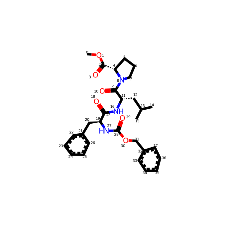 COC(=O)[C@@H]1CCCN1C(=O)[C@H](CC(C)C)NC(=O)[C@H](Cc1ccccc1)NC(=O)OCc1ccccc1